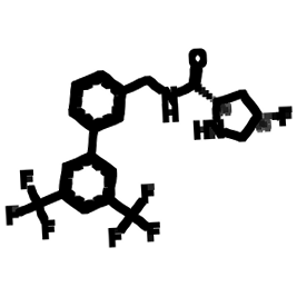 O=C(NCc1cccc(-c2cc(C(F)(F)F)cc(C(F)(F)F)c2)c1)[C@@H]1C[C@H](F)CN1